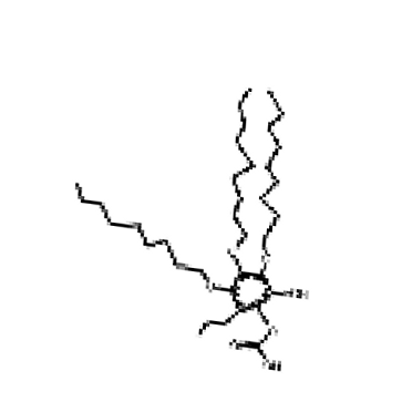 CCCCCCCCCOc1c(O)c(OC(=O)O)c(CCC)c(OCCCCCCCCC)c1OCCCCCCCCC